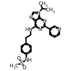 CC(C)n1cnc2c(NCCc3ccc(NS(C)(=O)=O)cc3)nc(-c3cccnc3)nc21